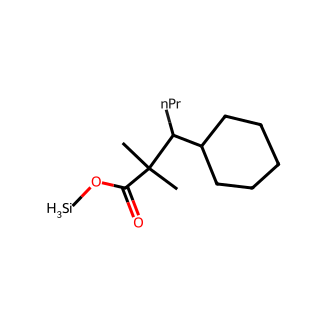 CCCC(C1CCCCC1)C(C)(C)C(=O)O[SiH3]